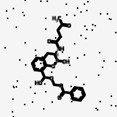 CC(=O)CCC(=O)N[C@H]1Cc2cccc(C(O)OCOC(=O)c3ccccc3)c2OB1O